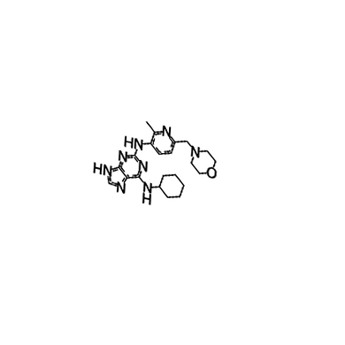 Cc1nc(CN2CCOCC2)ccc1Nc1nc(NC2CCCCC2)c2nc[nH]c2n1